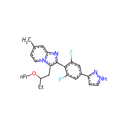 CCCOC(CC)Cc1c(-c2c(F)cc(-c3cc[nH]n3)cc2F)nc2cc(C)ccn12